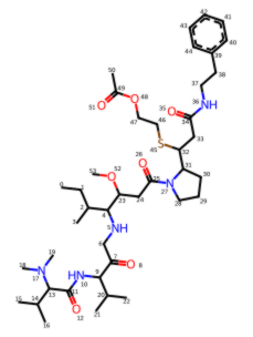 CCC(C)C(NCC(=O)C(NC(=O)C(C(C)C)N(C)C)C(C)C)C(CC(=O)N1CCCC1C(CC(=O)NCCc1ccccc1)SCCOC(C)=O)OC